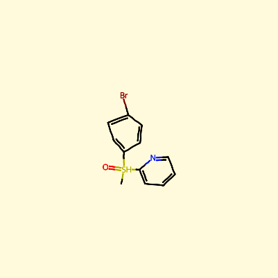 C[SH](=O)(c1ccc(Br)cc1)c1ccccn1